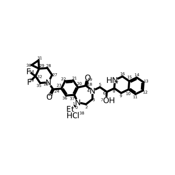 CCN1CCN(CC(O)C2Cc3ccccc3CN2)C(=O)c2ccc(C(=O)N3CCC4(CC4)C(F)(F)C3)cc21.Cl